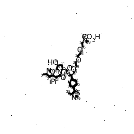 Cc1cc([C@H](C(=O)N2C[C@H](O)C[C@H]2C(=O)N[C@@H](COCCOCCOCCN(C)C(=O)O)c2ccc(-c3scnc3C)cc2)C(C)C)on1